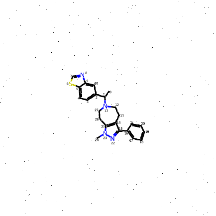 CC(c1ccc2scnc2c1)N1CCc2c(-c3ccccc3)nn(C)c2CC1